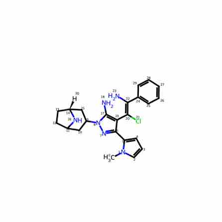 Cn1cccc1-c1nn(C2CC3CC[C@H](C2)N3)c(N)c1/C(Cl)=C(\N)c1ccccc1